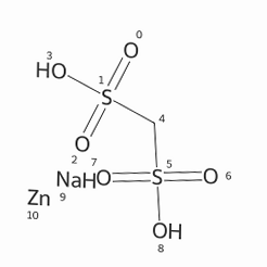 O=S(=O)(O)CS(=O)(=O)O.[NaH].[Zn]